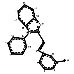 Fc1cccc(C=Cc2nc3ccccc3n2-c2ccccc2)c1